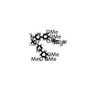 COc1cc(-c2ccc(N(C)CC(C)(C)CN(C)c3ccc(-c4cc(OC)c(OC)c(OC)c4)nc3)cn2)cc(OC)c1OC.CS(=O)(=O)O.CS(=O)(=O)O